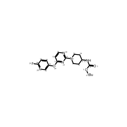 CC(C)(C)OC(=O)NC1CCN(c2nccc(Oc3ccc(F)nc3)n2)CC1